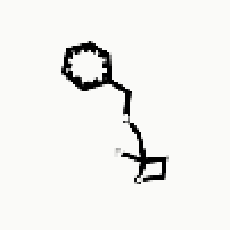 FC1(COCc2ccccc2)CCO1